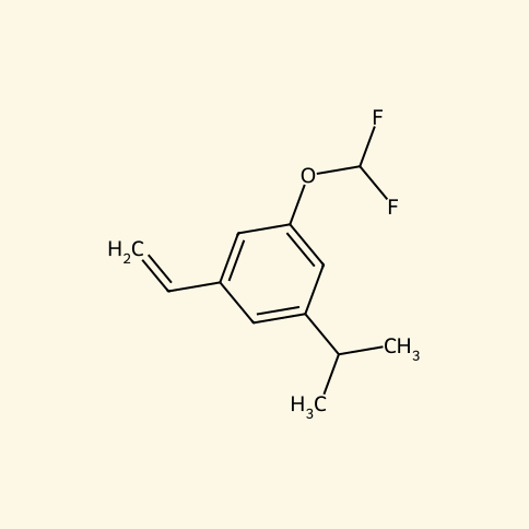 C=Cc1cc(OC(F)F)cc(C(C)C)c1